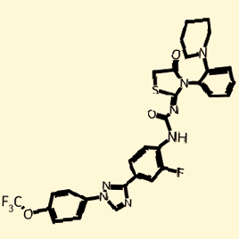 O=C(/N=C1\SCC(=O)N1c1ccccc1N1CCCCC1)Nc1ccc(-c2ncn(-c3ccc(OC(F)(F)F)cc3)n2)cc1F